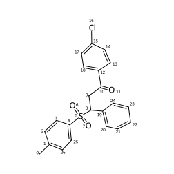 Cc1ccc(S(=O)(=O)C(CC(=O)c2ccc(Cl)cc2)c2ccccc2)cc1